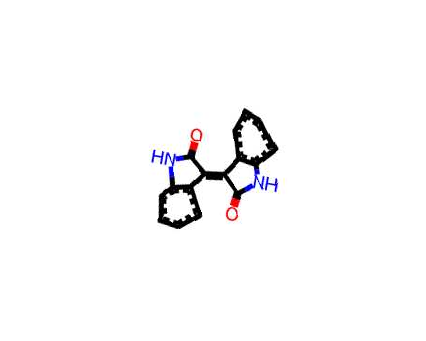 O=C1Nc2ccccc2C1=C1C(=O)Nc2ccccc21